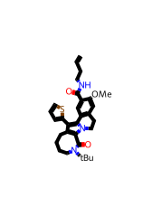 C=CCCNC(=O)c1cc2c(cc1OC)CCn1c3c(c(-c4cccs4)c1-2)CCCCN(C(C)(C)C)C3=O